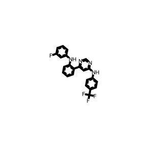 Fc1cccc(Nc2ccccc2-c2cc(Nc3ccc(C(F)(F)F)cc3)ncn2)c1